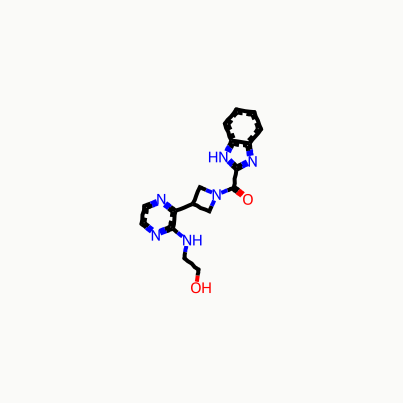 O=C(c1nc2ccccc2[nH]1)N1CC(c2nccnc2NCCO)C1